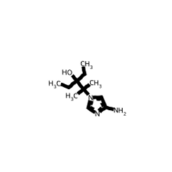 CCC(O)(CC)C(C)(C)n1cnc(N)c1